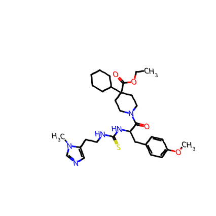 CCOC(=O)C1(C2CCCCC2)CCN(C(=O)C(Cc2ccc(OC)cc2)NC(=S)NCCc2cncn2C)CC1